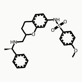 COc1ccc(S(=O)(=O)Nc2ccc3c(c2)OC(CN[C@H](C)c2ccccc2)CC3)cc1